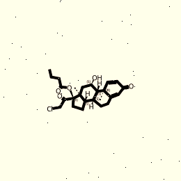 CCCC(=O)O[C@]1(C(=O)CCl)CC[C@H]2[C@@H]3CCC4=CC(=O)C=C[C@]4(C)[C@H]3[C@@H](O)C[C@@]21C